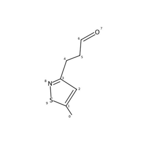 Cc1cc(CCC=O)ns1